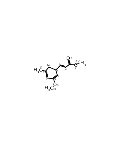 COC(=O)C=CC1C=C(OC)C=C(C)C1